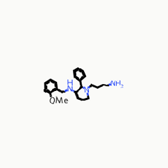 COc1ccccc1CNC1CCCN(CCCCN)C1c1ccccc1